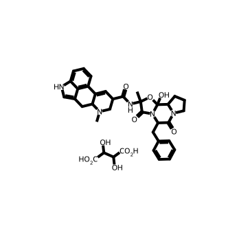 CN1CC(C(=O)NC2(C)OC3(O)C4CCCN4C(=O)C(Cc4ccccc4)N3C2=O)C=C2c3cccc4[nH]cc(c34)CC21.O=C(O)C(O)C(O)C(=O)O